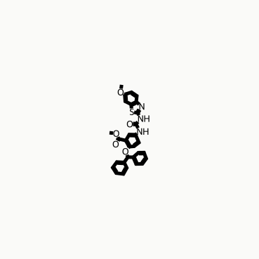 COC(=O)c1cc(NC(=O)Nc2nc3ccc(OC)cc3s2)ccc1OC(c1ccccc1)c1ccccc1